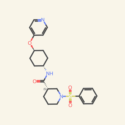 O=C(N[C@H]1CC[C@H](Oc2ccncc2)CC1)[C@H]1CCCN(S(=O)(=O)c2ccccc2)C1